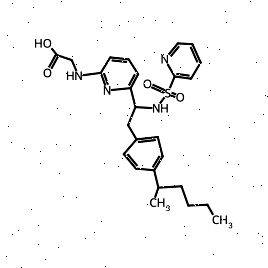 CCCCC(C)c1ccc(CC(NS(=O)(=O)c2ccccn2)c2cccc(NCC(=O)O)n2)cc1